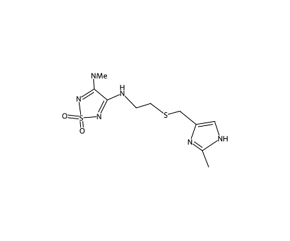 CNC1=NS(=O)(=O)N=C1NCCSCc1c[nH]c(C)n1